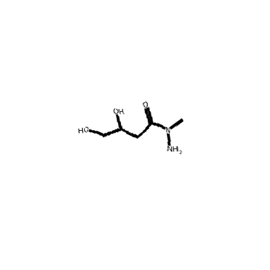 CN(N)C(=O)CC(O)CO